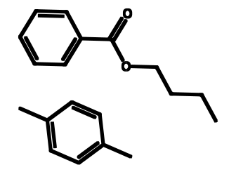 CCCCOC(=O)c1ccccc1.Cc1ccc(C)cc1